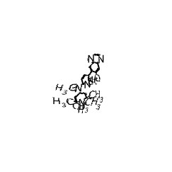 CCOc1cc2nccnc2cc1-c1ccc(N(C)C2CC(C)(C)NC(C)(C)C2)nn1